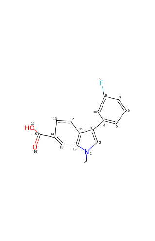 Cn1cc(-c2cccc(F)c2)c2ccc(C(=O)O)cc21